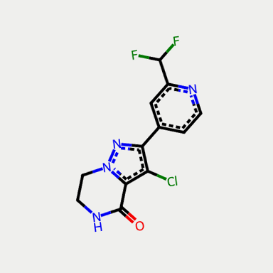 O=C1NCCn2nc(-c3ccnc(C(F)F)c3)c(Cl)c21